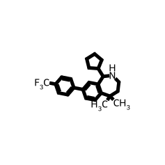 CC1(C)CCNC(C2CCCC2)c2cc(-c3ccc(C(F)(F)F)cc3)ccc21